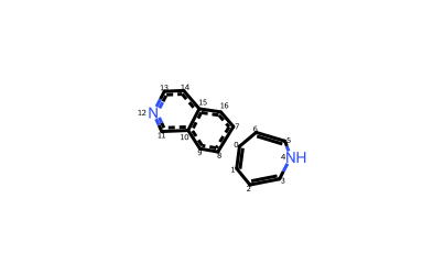 C1=CC=CNC=C1.c1ccc2cnccc2c1